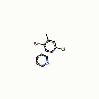 Cc1cc(Cl)ccc1Br.c1ccncc1